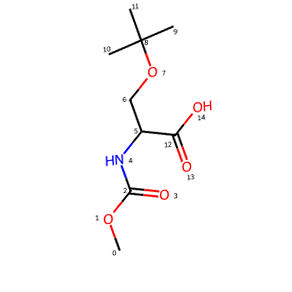 COC(=O)NC(COC(C)(C)C)C(=O)O